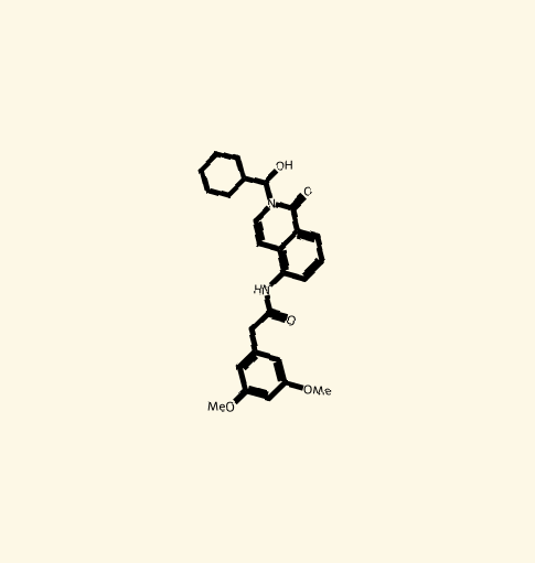 COc1cc(CC(=O)Nc2cccc3c(=O)n(C(O)C4CCCCC4)ccc23)cc(OC)c1